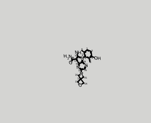 Cc1ccc(O)c(C)c1-n1c(N)c(C(N)=O)c2nc(N3CC4(COC4)C3)cnc21